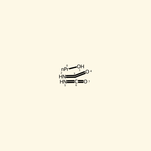 CCCO.N=C=O.N=C=O